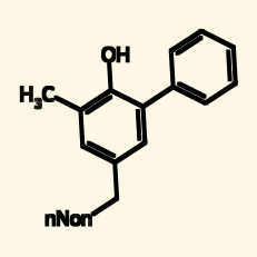 CCCCCCCCCCc1cc(C)c(O)c(-c2ccccc2)c1